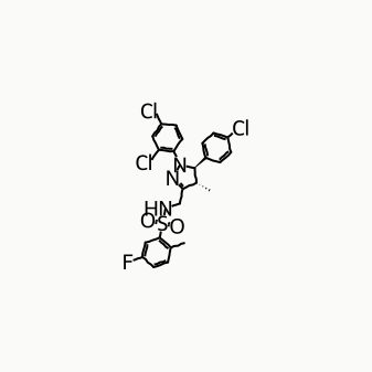 Cc1ccc(F)cc1S(=O)(=O)NCC1=NN(c2ccc(Cl)cc2Cl)[C@@H](c2ccc(Cl)cc2)[C@@H]1C